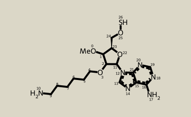 COC1C(OCCCCCCN)C(n2cnc3c(N)ncnc32)O[C@@H]1COS